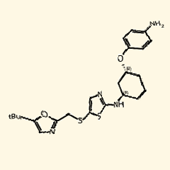 CC(C)(C)c1cnc(CSc2cnc(N[C@@H]3CCC[C@@H](Oc4ccc(N)cc4)C3)s2)o1